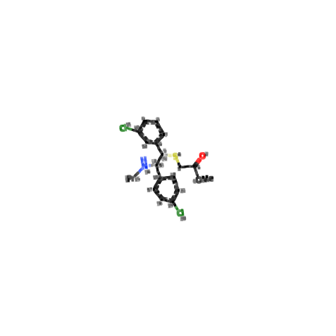 COC(=O)CS[C@@H](c1cccc(Cl)c1)[C@@H](NC(C)C)c1ccc(Cl)cc1